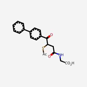 CC(=O)SC(CC(=O)NCC(=O)O)C(=O)c1ccc(-c2ccccc2)cc1